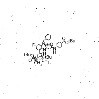 CN(CCC(O[Si](C)(C)C(C)(C)C)c1cc(F)cc(N(C)Cc2ccccc2)c1NC(=O)CC(=O)Nc1ccc(C(=O)OC(C)(C)C)cc1)C(=O)OC(C)(C)C